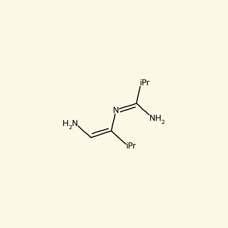 CC(C)C(=C/N)/N=C(\N)C(C)C